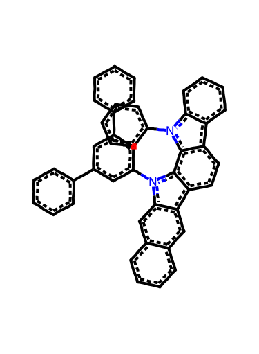 c1ccc(-c2cc(-c3ccccc3)cc(-n3c4cc5ccccc5cc4c4ccc5c6ccccc6n(-c6ccccc6)c5c43)c2)cc1